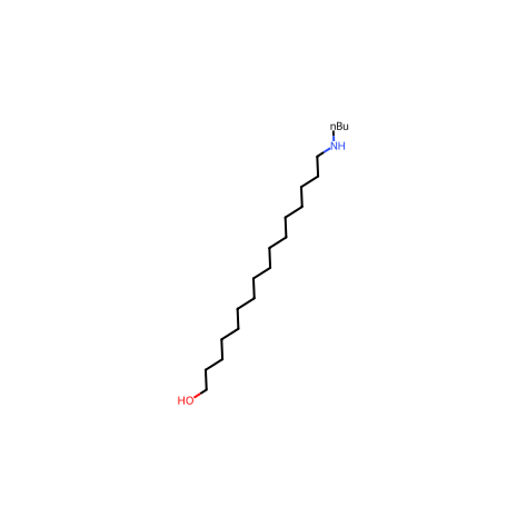 CCCCNCCCCCCCCCCCCCCCCO